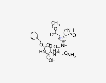 CCOC(=O)/C=C/[C@H](C[C@@H]1CCNC1=O)NC(=O)[C@H](CON)NC(=O)[C@H](CO)NC(=O)OCc1ccccc1